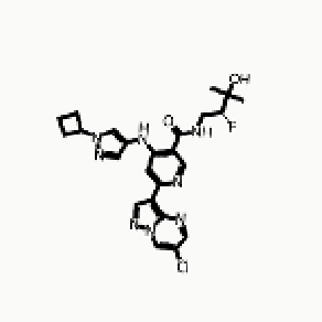 CC(C)(O)[C@H](F)CNC(=O)c1cnc(-c2cnn3cc(Cl)cnc23)cc1Nc1cnn(C2CCC2)c1